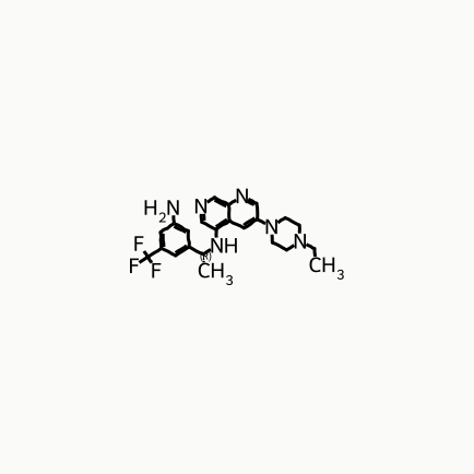 CCN1CCN(c2cnc3cncc(N[C@H](C)c4cc(N)cc(C(F)(F)F)c4)c3c2)CC1